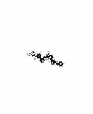 CN(C)CCNc1cc(F)cc(-c2ccnc3[nH]c(-c4n[nH]c5ccc(-c6cncc(NC(=O)c7ccccc7)c6)nc45)cc23)c1